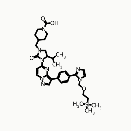 CC(C)C1CN(CC2CCN(C(=O)O)CC2)C(=O)N1c1ccn2ncc(-c3ccc(-c4nccn4COCC[Si](C)(C)C)cc3)c2n1